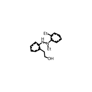 CCc1ccccc1N(CC)Nc1ccccc1CCO